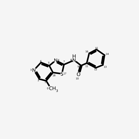 Cc1cncc2nc(NC(=O)c3ccccc3)sc12